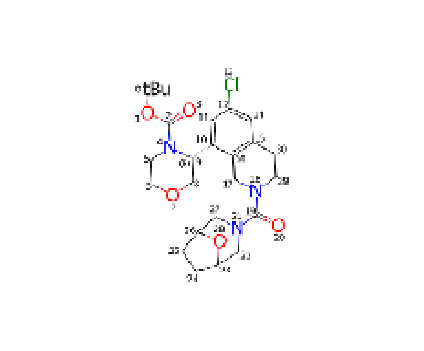 CC(C)(C)OC(=O)N1CCOC[C@H]1c1cc(Cl)cc2c1CN(C(=O)N1CC3CCC(C1)O3)CC2